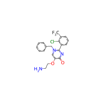 NCCOc1cn(Cc2ccccc2)c(-c2cccc(C(F)(F)F)c2Cl)nc1=O